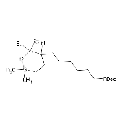 CCCCCCCCCCCCCCCCC1(CC)CC[Si](C)(C)OC1(CC)CC